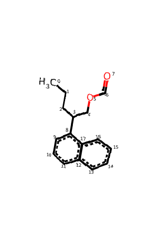 CCCC(CO[C]=O)c1cccc2ccccc12